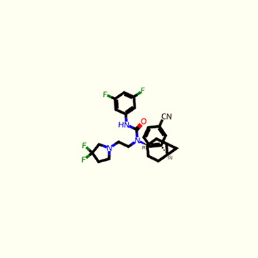 N#Cc1cccc([C@]23CC[C@@H](N(CCN4CCC(F)(F)C4)C(=O)Nc4cc(F)cc(F)c4)CC2C3)c1